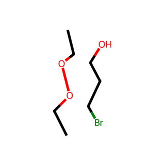 CCOOCC.OCCCBr